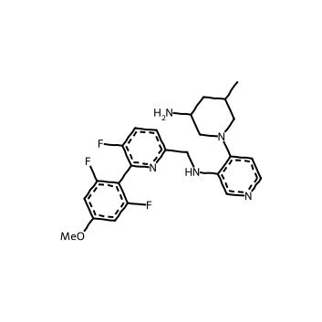 COc1cc(F)c(-c2nc(CNc3cnccc3N3CC(C)CC(N)C3)ccc2F)c(F)c1